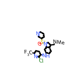 CNCc1cn([S+]([O-])c2cccnc2)c2cc(Nc3ccc(C(F)(F)F)nc3Cl)ccc12